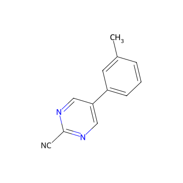 Cc1cccc(-c2cnc(C#N)nc2)c1